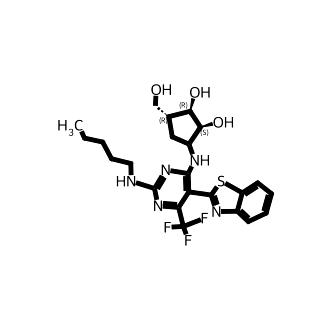 CCCCCNc1nc(NC2C[C@H](CO)[C@@H](O)[C@H]2O)c(-c2nc3ccccc3s2)c(C(F)(F)F)n1